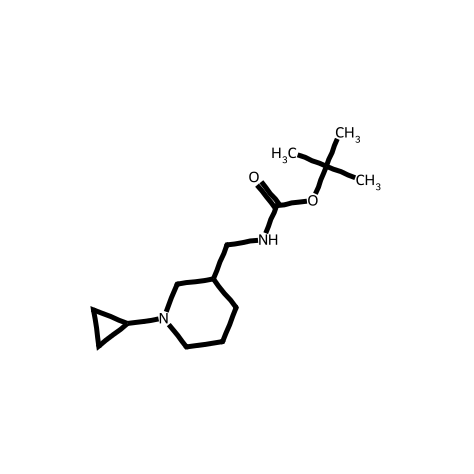 CC(C)(C)OC(=O)NCC1CCCN(C2CC2)C1